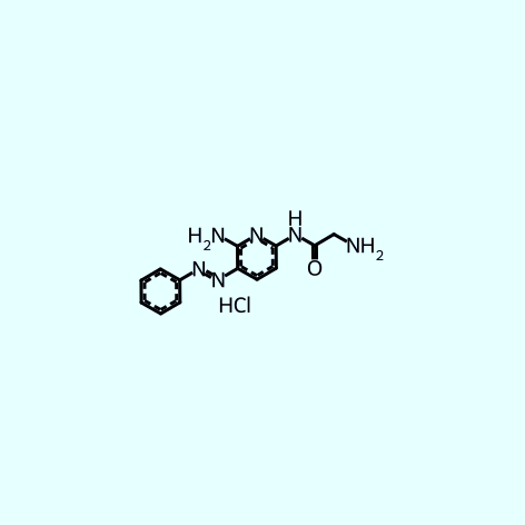 Cl.NCC(=O)Nc1ccc(N=Nc2ccccc2)c(N)n1